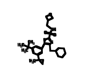 CC(C)(C)c1cc(-c2sc(S(=O)(=O)NCC3COC3)nc2CC2CCCCC2)cc(C2(C)CC2)c1